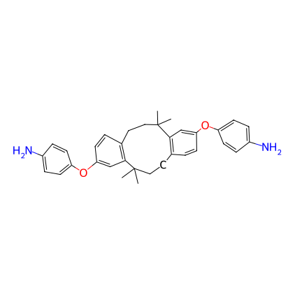 CC1(C)CCc2ccc(Oc3ccc(N)cc3)cc2C(C)(C)CCc2ccc(Oc3ccc(N)cc3)cc21